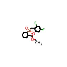 CCOC(=O)C1=CCCCC1S(=O)(=O)Cc1ccc(F)cc1F